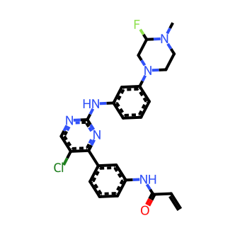 C=CC(=O)Nc1cccc(-c2nc(Nc3cccc(N4CCN(C)C(F)C4)c3)ncc2Cl)c1